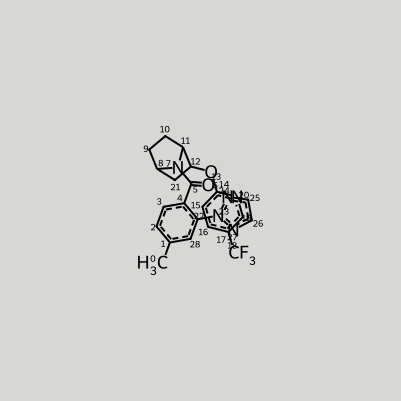 Cc1ccc(C(=O)N2C3CCC2C(Oc2ccc(C(F)(F)F)cn2)C3)c(-n2nccn2)c1